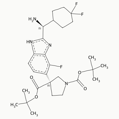 CC(C)(C)OC(=O)N1CC[C@](C(=O)OC(C)(C)C)(c2ccc3[nH]c([C@@H](N)C4CCC(F)(F)CC4)nc3c2F)C1